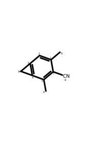 Cc1cc2c(c(C)c1C#N)C2